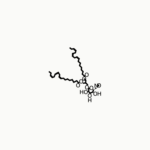 CC/C=C\C/C=C\C/C=C\CCCCCCCC(=O)OCC(COC(=O)CCCCCCC/C=C\C/C=C\C/C=C\CC)CO[C@@H]1O[C@H](CN=O)[C@H](O)[C@H](O)[C@H]1O